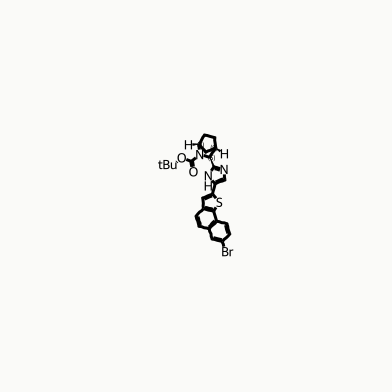 CC(C)(C)OC(=O)N1[C@@H]2CC[C@@H](C2)[C@H]1c1ncc(-c2cc3ccc4cc(Br)ccc4c3s2)[nH]1